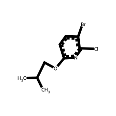 CC(C)COc1ccc(Br)c(Cl)n1